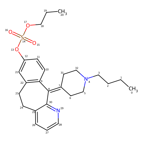 CCCCN1CCC(=C2c3ccc(OS(=O)(=O)OCCC)cc3CCc3cccnc32)CC1